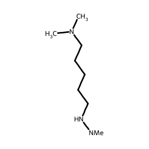 CNNCCCCCN(C)C